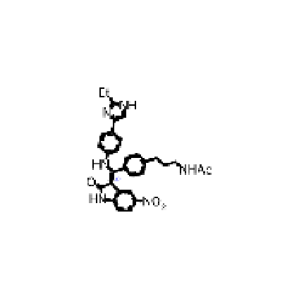 CCc1nc(-c2ccc(N/C(=C3\C(=O)Nc4ccc([N+](=O)[O-])cc43)c3ccc(CCCNC(C)=O)cc3)cc2)c[nH]1